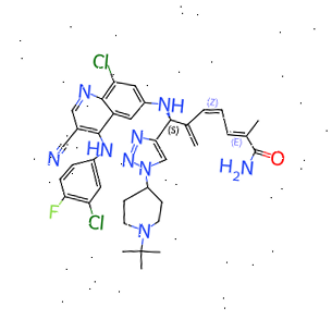 C=C(/C=C\C=C(/C)C(N)=O)[C@H](Nc1cc(Cl)c2ncc(C#N)c(Nc3ccc(F)c(Cl)c3)c2c1)c1cn(C2CCN(C(C)(C)C)CC2)nn1